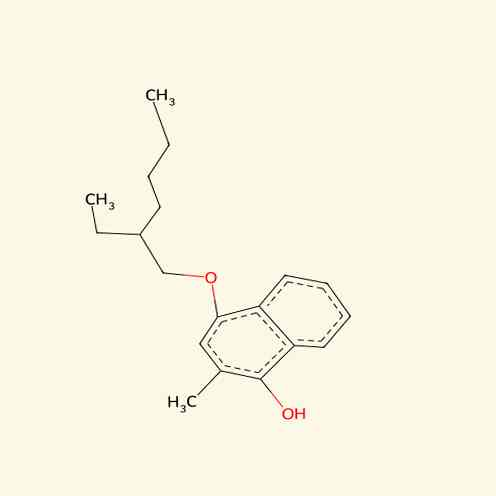 CCCCC(CC)COc1cc(C)c(O)c2ccccc12